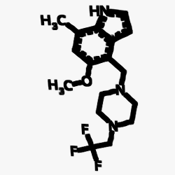 COc1cc(C)c2[nH]ccc2c1CN1CCN(CC(F)(F)F)CC1